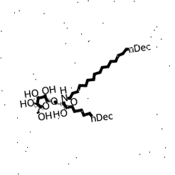 CCCCCCCCCCCCCCCCCCCCCCCCCC(=O)N[C@@H](CO[C@@H]1O[C@H](CO)[C@@H](O)C(O)C1O)[C@H](O)CCCCCCCCCCCCCCC